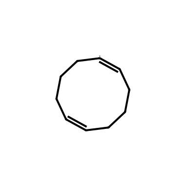 [C]1=CCCCC=CCCC1